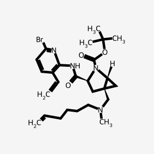 C=CCCCCN(C)C[C@@]12C[C@@H](C(=O)Nc3nc(Br)ccc3C=C)N(C(=O)OC(C)(C)C)[C@@H]1C2